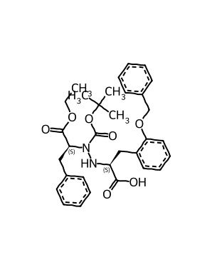 CCOC(=O)[C@H](Cc1ccccc1)N(N[C@@H](Cc1ccccc1OCc1ccccc1)C(=O)O)C(=O)OC(C)(C)C